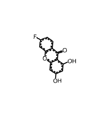 O=c1c2ccc(F)cc2oc2cc(O)cc(O)c12